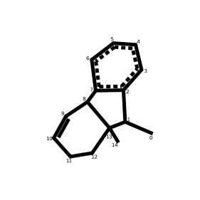 CC1c2ccccc2C2C=CCCC12C